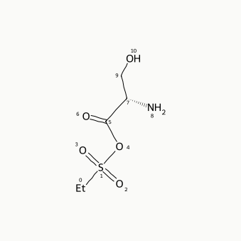 CCS(=O)(=O)OC(=O)[C@@H](N)CO